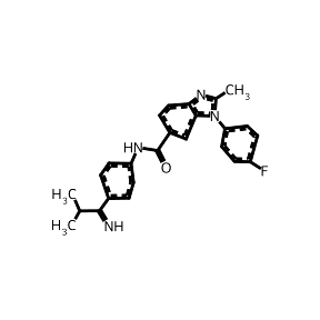 Cc1nc2ccc(C(=O)Nc3ccc(C(=N)C(C)C)cc3)cc2n1-c1ccc(F)cc1